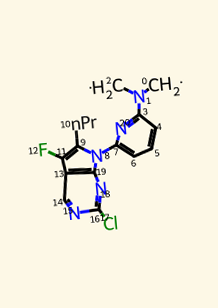 [CH2]N([CH2])c1cccc(-n2c(CCC)c(F)c3cnc(Cl)nc32)n1